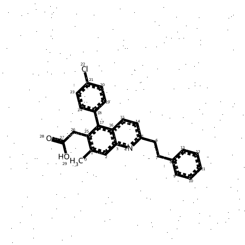 Cc1cc2nc(CCc3ccccc3)ccc2c(-c2ccc(Cl)cc2)c1CC(=O)O